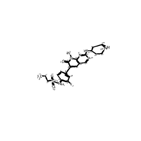 CC(C)n1c(=O)c(-c2ccc(NS(=O)(=O)CCC(F)(F)F)c(F)c2)cc2cnc(NC3CCNCC3)nc21